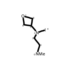 CNCCN(I)C1COC1